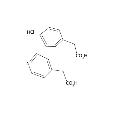 Cl.O=C(O)Cc1ccccc1.O=C(O)Cc1ccncc1